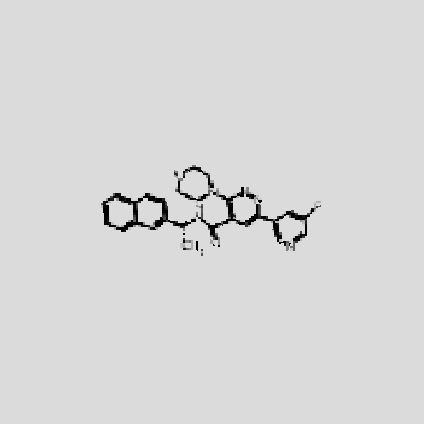 C[C@@H](NC(=O)c1cc(-c2cncc(F)c2)nnc1N1CCOCC1)c1ccc2ccccc2c1